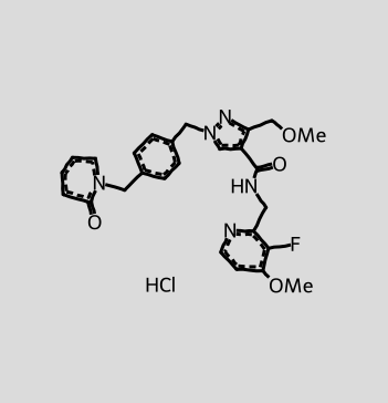 COCc1nn(Cc2ccc(Cn3ccccc3=O)cc2)cc1C(=O)NCc1nccc(OC)c1F.Cl